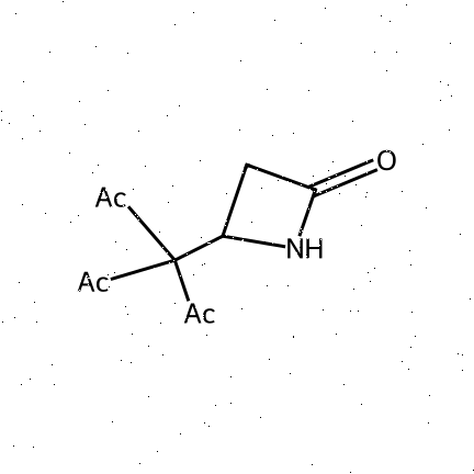 CC(=O)C(C(C)=O)(C(C)=O)C1CC(=O)N1